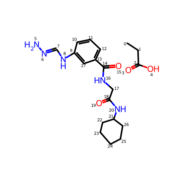 CCC(=O)O.NN=CNc1cccc(C(=O)NCC(=O)NC2CCCCC2)c1